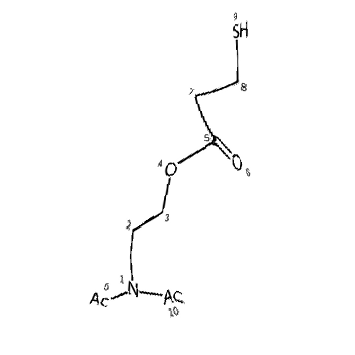 CC(=O)N(CCOC(=O)CCS)C(C)=O